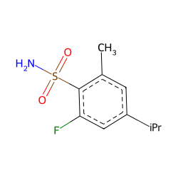 Cc1cc(C(C)C)cc(F)c1S(N)(=O)=O